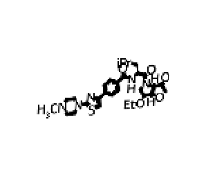 CCO[C@H]1CN(C(=O)[C@H](CC(C)C)NC(=O)c2ccc(-c3csc(N4CCN(C)CC4)n3)cc2)[C@@H]2C(=O)CO[C@H]12